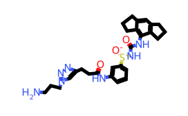 NCCCn1cc(CCC(=O)Nc2cccc([S+]([O-])NC(=O)Nc3c4c(cc5c3CCC5)CCC4)c2)nn1